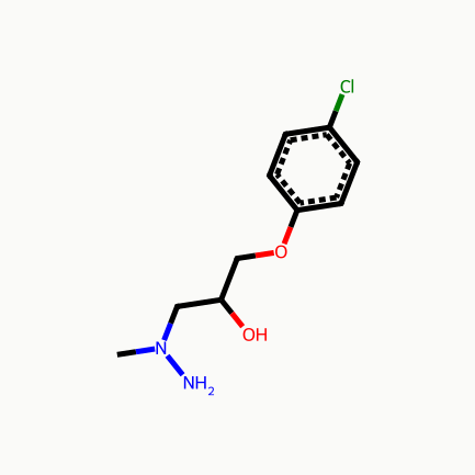 CN(N)CC(O)COc1ccc(Cl)cc1